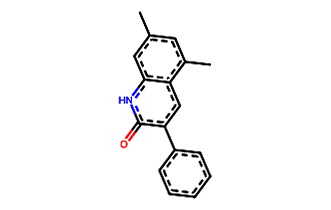 Cc1cc(C)c2cc(-c3ccccc3)c(=O)[nH]c2c1